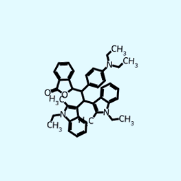 CCN(CC)c1ccc(C(C2OC(=O)c3ccccc32)C(c2c(C)n(CC)c3ccccc23)c2c(C)n(CC)c3ccccc23)cc1